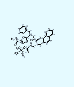 CC(C)(C)OC(=O)NC[C@@H](Cc1ccc2ccccc2c1)C(=O)NC[C@@H](Cc1ccccc1)c1nnc(C(N)=O)o1